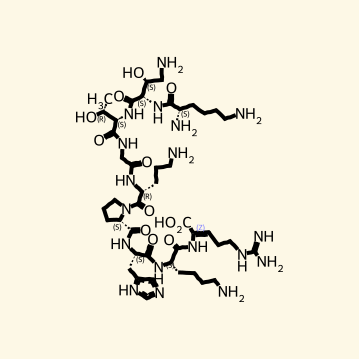 C[C@@H](O)[C@H](NC(=O)[C@@H](NC(=O)[C@@H](N)CCCCN)[C@@H](O)CN)C(=O)NCC(=O)N[C@H](CCCN)C(=O)N1CCC[C@H]1C(=O)N[C@@H](Cc1cnc[nH]1)C(=O)N[C@@H](CCCCN)C(=O)N/C(=C\CCNC(=N)N)C(=O)O